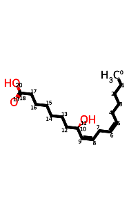 CCCCC/C=C\C/C=C\[C@H](O)CCCCCCC(=O)O